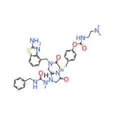 CN(C)CCNC(=O)Oc1ccc(C[C@H]2C(=O)N(Cc3cccc4sc(N)nc34)C[C@H]3N2C(=O)CN3N(C)C(=O)NCc2ccccc2)cc1